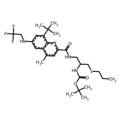 [CH2]CCSCC(CNC(=O)c1cc(C)c2cc(NCC(F)(F)F)cc(C(C)(C)C)c2n1)NC(=O)OC(C)(C)C